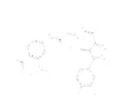 COC(=O)c1ccc(NC(=S)CNN=C(C)c2nn(C)c(-c3ccc(Cl)c(Cl)c3)c2O)cc1[N+](=O)[O-]